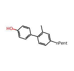 CCCCCc1ccc(-c2ccc(O)cc2)c(C)c1